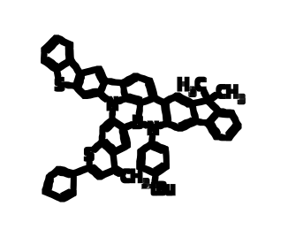 C=C1C=C(c2ccccc2)Sc2cc3c(cc21)B1c2c(ccc4c5cc6c(cc5n-3c24)sc2ccccc26)-c2cc3c(cc2N1c1ccc(C(C)(C)C)cc1)-c1ccccc1C3(C)C